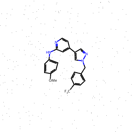 COc1ccc(Nc2cc(-c3cnn(Cc4ccc(C(F)(F)F)cc4)c3)ccn2)cc1